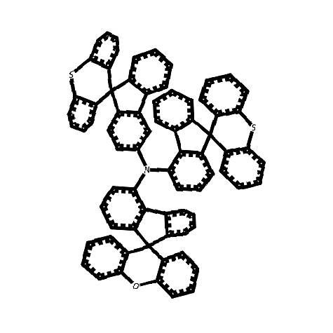 c1ccc2c(c1)Oc1ccccc1C21c2ccccc2-c2c(N(c3ccc4c(c3)-c3ccccc3C43c4ccccc4Sc4ccccc43)c3cccc4c3-c3ccccc3C43c4ccccc4Sc4ccccc43)cccc21